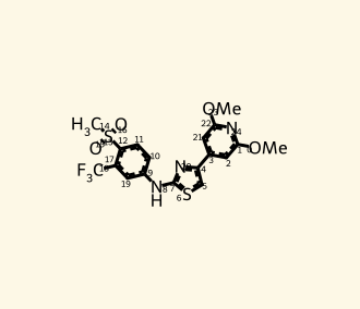 COc1cc(-c2csc(Nc3ccc(S(C)(=O)=O)c(C(F)(F)F)c3)n2)cc(OC)n1